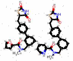 CN(Cc1cccc(-c2ccc(CC3SC(=O)NC3=O)cc2)c1)C(=O)c1ccccn1.CN(Cc1cccc(-c2ccc(CC3SC(=O)NC3=O)cc2)c1)C(=O)c1ccco1